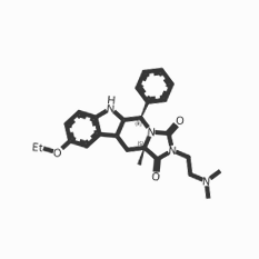 CCOc1ccc2c(c1)C1C[C@@]3(C)C(=O)N(CCN(C)C)C(=O)N3[C@H](c3ccccc3)C1N2